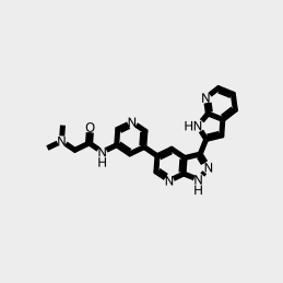 CN(C)CC(=O)Nc1cncc(-c2cnc3[nH]nc(-c4cc5cccnc5[nH]4)c3c2)c1